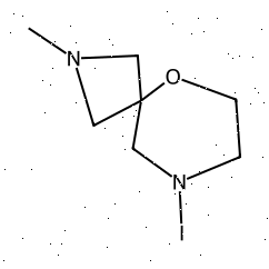 CN1CC2(C1)CN(I)CCO2